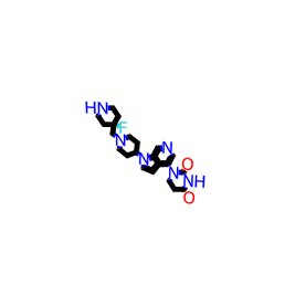 O=C1CCN(c2cncc3c2ccn3C2CCN(CC3(F)CCNCC3)CC2)C(=O)N1